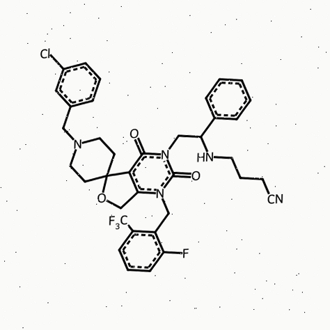 N#CCCCNC(Cn1c(=O)c2c(n(Cc3c(F)cccc3C(F)(F)F)c1=O)COC21CCN(Cc2cccc(Cl)c2)CC1)c1ccccc1